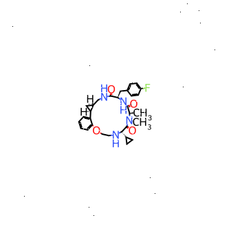 C[C@@H]1C(=O)N[C@H](Cc2ccc(F)cc2)C(=O)NC[C@H]2C[C@@H]2c2ccccc2OCCN[C@@H](C2CC2)C(=O)N1C